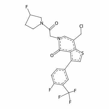 O=C(Cn1cc(CCl)c2scc(-c3ccc(F)c(C(F)(F)F)c3)c2c1=O)N1CCC(F)C1